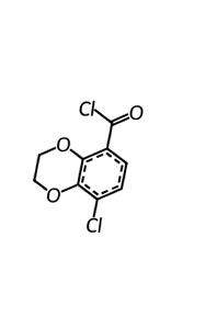 O=C(Cl)c1ccc(Cl)c2c1OCCO2